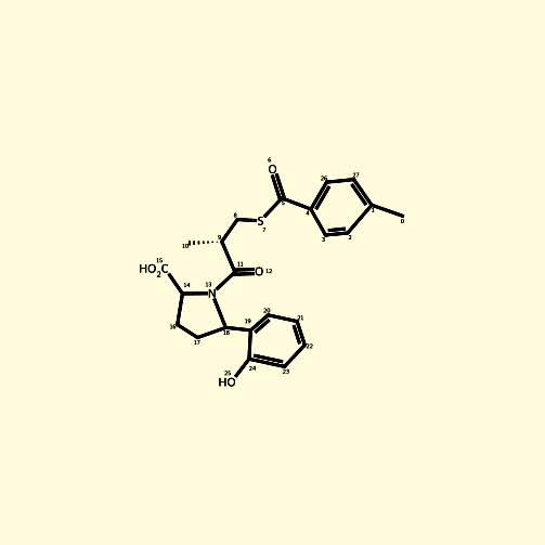 Cc1ccc(C(=O)SC[C@@H](C)C(=O)N2C(C(=O)O)CCC2c2ccccc2O)cc1